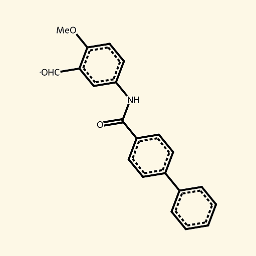 COc1ccc(NC(=O)c2ccc(-c3ccccc3)cc2)cc1[C]=O